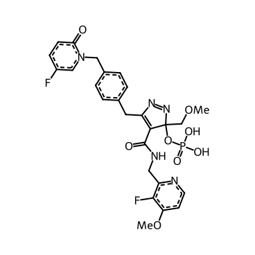 COCC1(OP(=O)(O)O)N=NC(Cc2ccc(Cn3cc(F)ccc3=O)cc2)=C1C(=O)NCc1nccc(OC)c1F